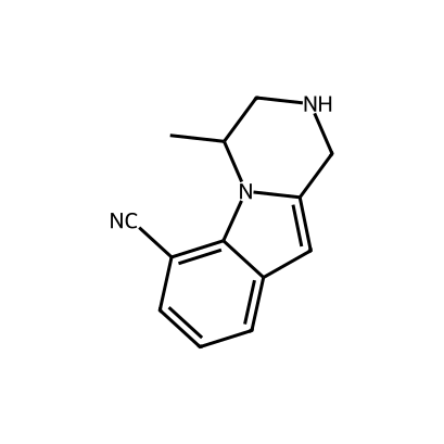 CC1CNCc2cc3cccc(C#N)c3n21